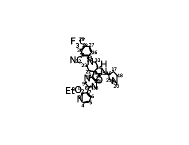 CCOc1ncccc1-c1cnc(C2(C(=O)N[C@H]3CCN(C)C3)CCN(c3ccc(C(F)(F)F)cc3C#N)CC2)cn1